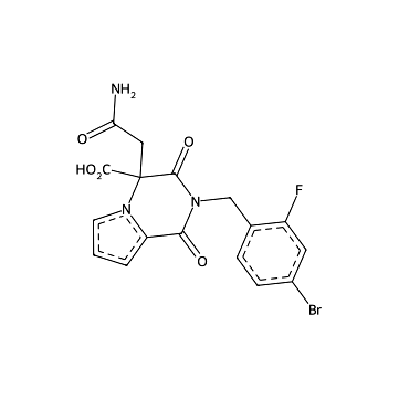 NC(=O)CC1(C(=O)O)C(=O)N(Cc2ccc(Br)cc2F)C(=O)c2cccn21